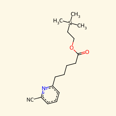 C[Si](C)(C)CCOC(=O)CCCCc1cccc(C#N)n1